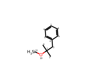 CC(C)(Cc1ccccc1)O[SiH3]